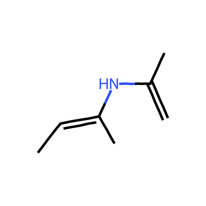 C=C(C)N/C(C)=C/C